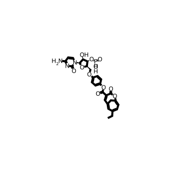 CCC1=CC=C2CC(=C1)C=C(C(=O)Oc1ccc(OC[C@H]3O[C@@H](n4ccc(N)nc4=O)[C@H](O)[C@@H]3O[PH](=O)O)cc1)C(=O)O2